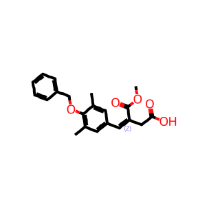 COC(=O)/C(=C\c1cc(C)c(OCc2ccccc2)c(C)c1)CC(=O)O